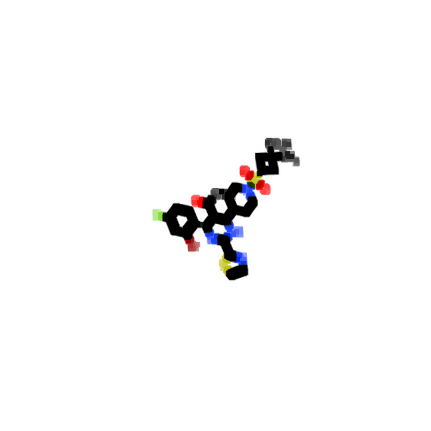 COC(=O)C1=C(C2CCN(S(=O)(=O)[C@H]3C[C@](C)(C(=O)O)C3)CC2)NC(c2nccs2)=N[C@@H]1c1ccc(F)cc1Br